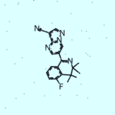 CC1(C)N=C(c2cnc3c(C#N)cnn3c2)c2cccc(F)c2C1(C)C